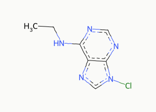 CCNc1ncnc2c1ncn2Cl